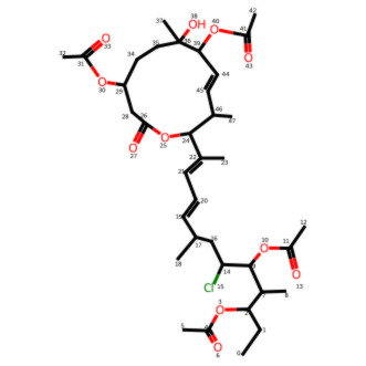 CCC(OC(C)=O)C(C)C(OC(C)=O)C(Cl)CC(C)/C=C/C=C(\C)C1OC(=O)CC(OC(C)=O)CCC(C)(O)C(OC(C)=O)/C=C/C1C